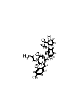 CCCN1C(=O)N(N)C(Nc2ccc(OC3=CC(C(=O)ON)NC=C3)cc2)N(Cc2ccc(Cl)cc2)C1=O